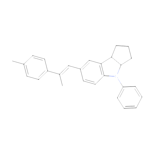 C/C(=C\c1ccc2c(c1)C1CCCC1N2c1ccccc1)c1ccc(C)cc1